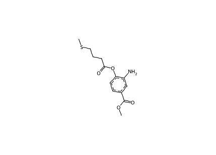 COC(=O)c1ccc(OC(=O)CCCSC)c(N)c1